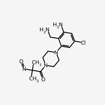 CC(C)(N=O)C(=O)N1CCN(c2cc(Cl)cc(N)c2CN)CC1